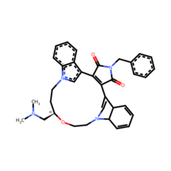 CN(C)C[C@H]1CCn2cc(c3ccccc32)C2=C(C(=O)N(Cc3ccccc3)C2=O)C2=CN(CCO1)C1C=CC=CC21